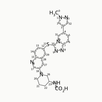 Cn1cc(-c2ccc3nnc(Sc4ccc5ncc(N6CCCC(NC(=O)O)C6)cc5c4)n3c2)cn1